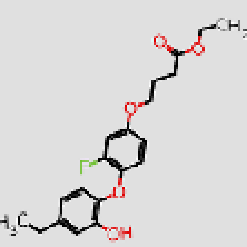 CCOC(=O)CCCOc1ccc(Oc2ccc(CC)cc2O)c(F)c1